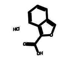 Cl.O=C(O)c1occ2ccccc12